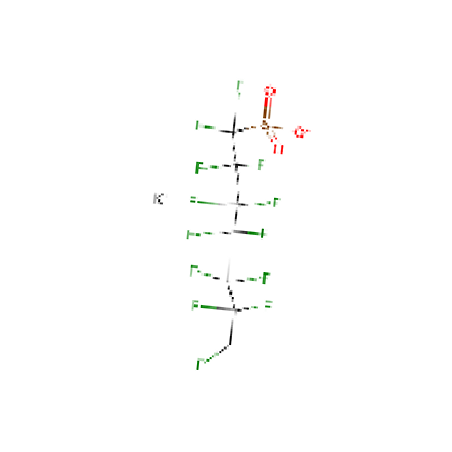 O=S(=O)([O-])C(F)(F)C(F)(F)C(F)(F)C(F)(F)C(F)(F)C(F)(F)CF.[K+]